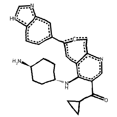 N[C@H]1CC[C@H](Nc2c(C(=O)C3CC3)cnc3ccc(-c4ccc5[nH]cnc5c4)cc23)CC1